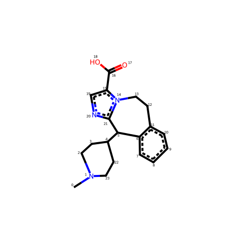 CN1CCC(C2c3ccccc3CCn3c(C(=O)O)cnc32)CC1